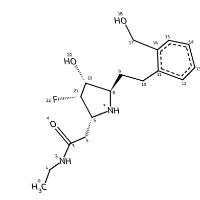 CCNC(=O)C[C@H]1N[C@H](CCc2ccccc2CO)[C@@H](O)[C@H]1F